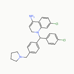 NC1=CCN(C(c2ccc(Cl)cc2)c2ccc(CN3CCCC3)cc2)c2cc(Cl)ccc21